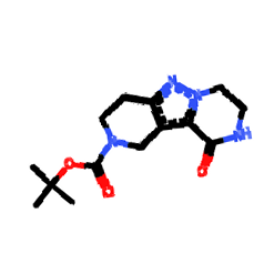 CC(C)(C)OC(=O)N1CCc2nn3c(c2C1)C(=O)NCC3